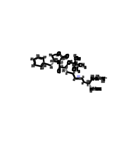 CCCCCC[C@H](C/C=C/CC[C@@H](O[Si](C)(C)C(C)(C)C)C(=O)N1C(=O)OC[C@H]1Cc1ccccc1)N=[N+]=[N-]